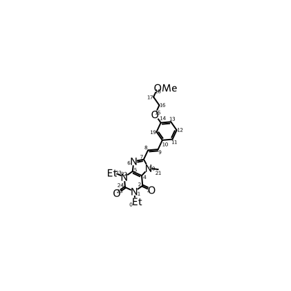 CCn1c(=O)c2c(nc(/C=C/c3cccc(OCCOC)c3)n2C)n(CC)c1=O